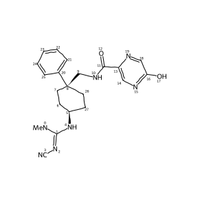 CN/C(=N\C#N)N[C@H]1CC[C@](CNC(=O)c2cnc(O)cn2)(c2ccccc2)CC1